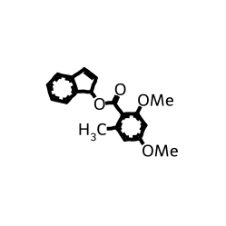 COc1cc(C)c(C(=O)OC2C=Cc3ccccc32)c(OC)c1